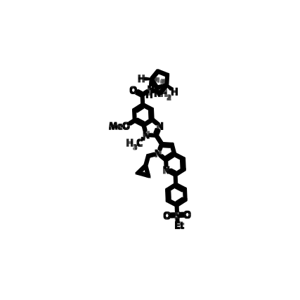 CCS(=O)(=O)c1ccc(-c2ccc3cc(-c4nc5cc(C(=O)N6C[C@H]7CC[C@@H]6[C@@H]7N)cc(OC)c5n4C)n(CC4CC4)c3n2)cc1